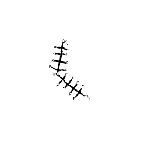 FC(F)(F)C(F)(F)C(F)(F)C(F)(F)C(F)(F)NC(F)(F)C(F)(F)C(F)(F)C(F)(F)C(F)(F)F